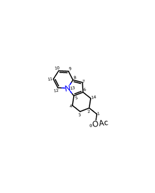 CC(=O)OCC1CCc2c(cc3ccccn23)C1